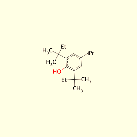 CCC(C)(C)c1cc(C(C)C)cc(C(C)(C)CC)c1O